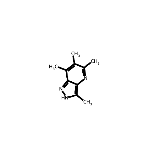 Cc1nc2c(C)[nH]nc2c(C)c1C